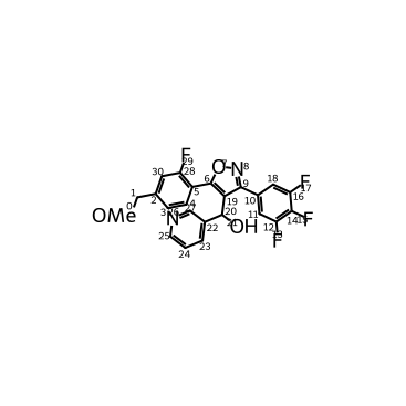 COCc1ccc(-c2onc(-c3cc(F)c(F)c(F)c3)c2C(O)c2cccnc2)c(F)c1